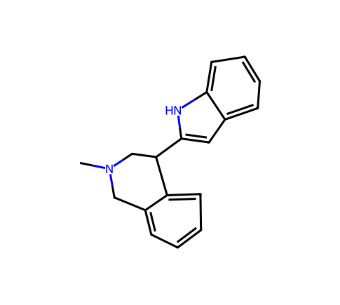 CN1Cc2ccccc2C(c2cc3ccccc3[nH]2)C1